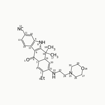 CCC1=CC2C(=O)c3c([nH]c4cc(C#N)ccc34)C(C)(C)C2C=C1NCCN1CCOCC1